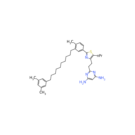 CCCc1sc(-c2ccc(C)c(CCCCCCCCCCc3cc(C)cc(C)c3)c2)nc1CCc1nc(N)cc(N)n1